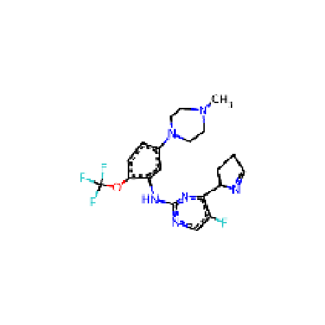 CN1CCN(c2ccc(OC(F)(F)F)c(Nc3ncc(F)c(C4CCC=N4)n3)c2)CC1